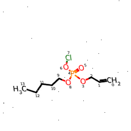 C=CCOP(=O)(OCl)OCCCCC